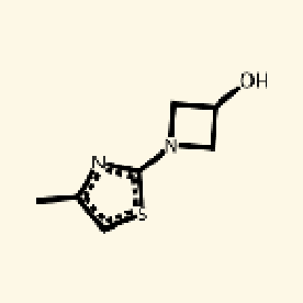 Cc1csc(N2CC(O)C2)n1